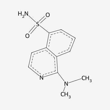 CN(C)c1nccc2c(S(N)(=O)=O)cccc12